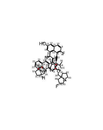 CC(C)[Si](C#Cc1c(F)ccc2cc(O)cc(-c3nc(-c4ccccn4)c4c(N5C[C@H]6CC[C@@H](C5)N6)nc(OC[C@@]56CCCN5C[C@H](F)C6)nc4c3F)c12)(C(C)C)C(C)C